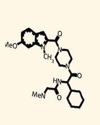 CNCC(=O)NC(C(=O)N1CCN(C(=O)c2cc3ccc(OC)cc3n2C)CC1)C1CCCCC1